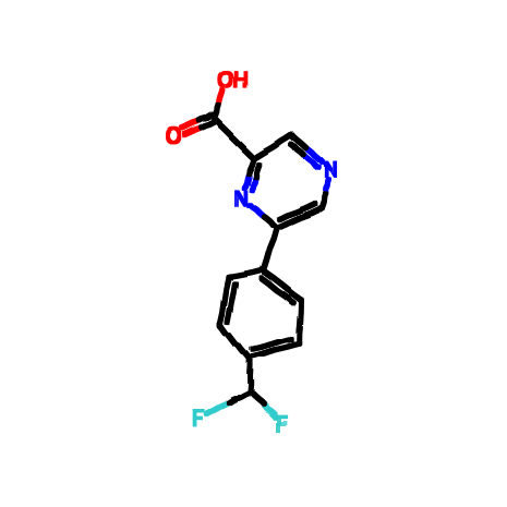 O=C(O)c1cncc(-c2ccc(C(F)F)cc2)n1